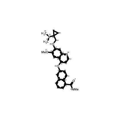 CNC(=O)c1cccc2cc(Oc3ccnc4cc(OCC5(N(C)C)CC5)c(OC)cc34)ccc12